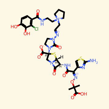 CC(C)(O/N=C(\C(=O)N[C@@H]1C(=O)N2C[C@@](C(=O)[O-])(N3CCN(/N=C/C[N+]4(CCNC(=O)c5ccc(O)c(O)c5Cl)CCCC4)C3=O)S[C@H]12)c1csc(N)n1)C(=O)O